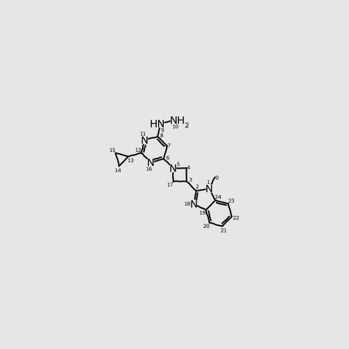 Cn1c(C2CN(c3cc(NN)nc(C4CC4)n3)C2)nc2ccccc21